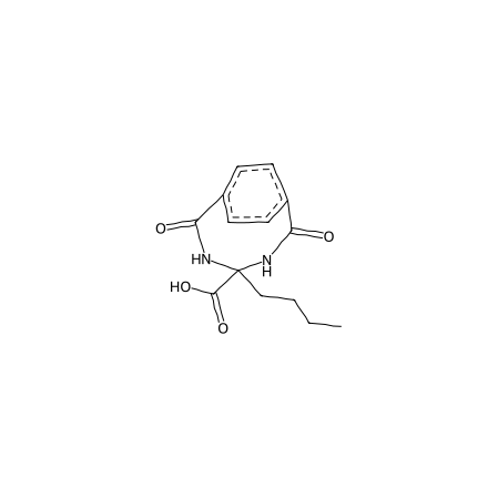 CCCCC1(C(=O)O)NC(=O)c2ccc(cc2)C(=O)N1